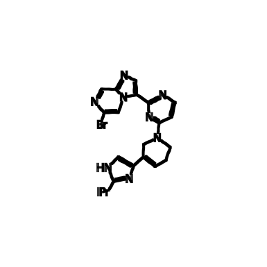 CC(C)c1nc(C2=CCCN(c3ccnc(-c4cnc5cnc(Br)cn45)n3)C2)c[nH]1